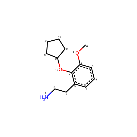 COc1cccc(CCN)c1OC1CCCC1